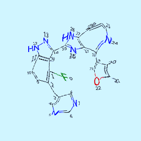 Fc1c(-c2cncnc2)ccc2[nH]nc(-c3nc4c(-c5ccoc5)nccc4[nH]3)c12